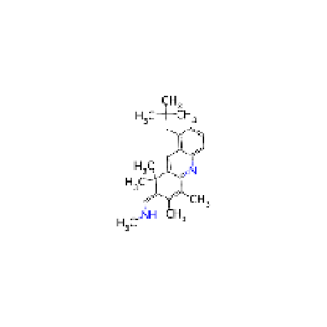 CN/C=C1\C(C)=C(C)c2nc3cccc(CC(C)(C)C)c3cc2C1(C)C